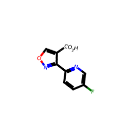 O=C(O)c1conc1-c1ccc(F)cn1